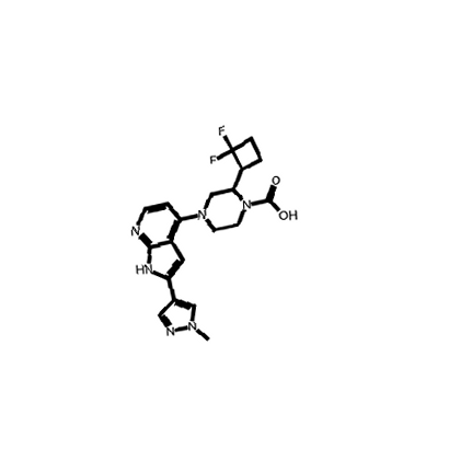 Cn1cc(-c2cc3c(N4CCN(C(=O)O)C(C5CCC5(F)F)C4)ccnc3[nH]2)cn1